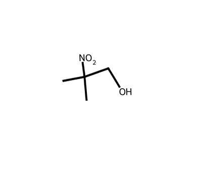 CC(C)(CO)[N+](=O)[O-]